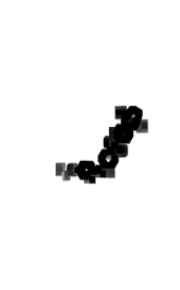 O=S(=O)(c1ccc(N2[C@@H]3CC[C@H]2C[C@@H](O)C3)cc1)N1CCC(Nc2ccc(C(F)(F)F)cn2)CC1